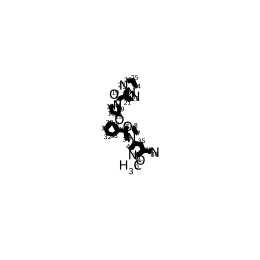 COc1ncc(N2C=COC(C3=C(O[C@H]4CCN(C(=O)c5cnn6cccnc56)C4)C=CCC3)=C2)cc1C#N